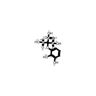 O=S(=O)(O)C(Oc1cccc(O)c1O)(S(=O)(=O)O)S(=O)(=O)O